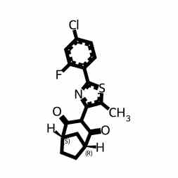 Cc1sc(-c2ccc(Cl)cc2F)nc1C1C(=O)[C@@H]2CC[C@@H](C2)C1=O